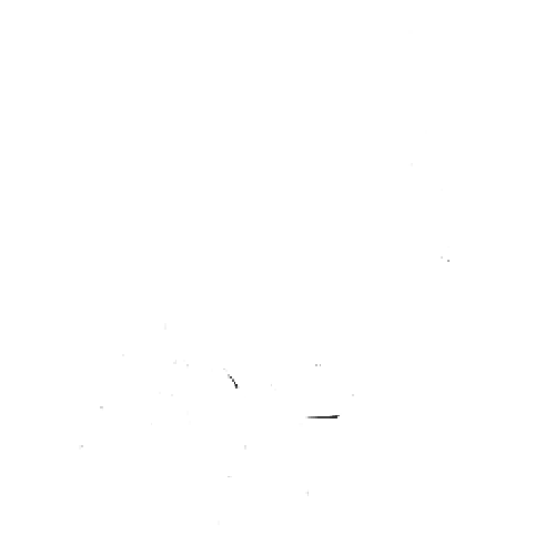 CCCC(=O)OCCN(C)C(=O)Oc1ccc(C[C@H](NC(=O)[C@@H]2CCCN2S(=O)(=O)c2ccc(C)cc2)C(=O)OC(C)(C)C)cc1